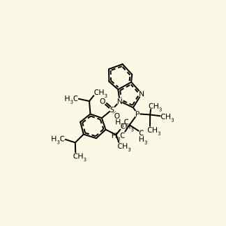 CC(C)c1cc(C(C)C)c(S(=O)(=O)n2c(P(C(C)(C)C)C(C)(C)C)nc3ccccc32)c(C(C)C)c1